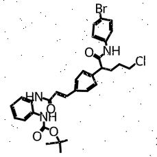 CC(C)(C)OC(=O)Nc1ccccc1NC(=O)C=Cc1ccc(C(CCCCl)C(=O)Nc2ccc(Br)cc2)cc1